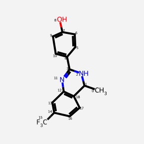 CC1NC(c2ccc(O)cc2)=Nc2cc(C(F)(F)F)ccc21